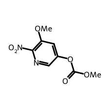 COC(=O)Oc1cnc([N+](=O)[O-])c(OC)c1